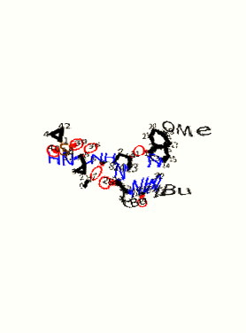 C=C[C@@H]1C[C@]1(NC(=O)[C@@H]1CC(Oc2nccc3cc(OC)ccc23)CN1C(=O)[C@@H](NC(=O)N(C)C(C)(C)C)C(C)(C)C)C(=O)NS(=O)(=O)C1CC1